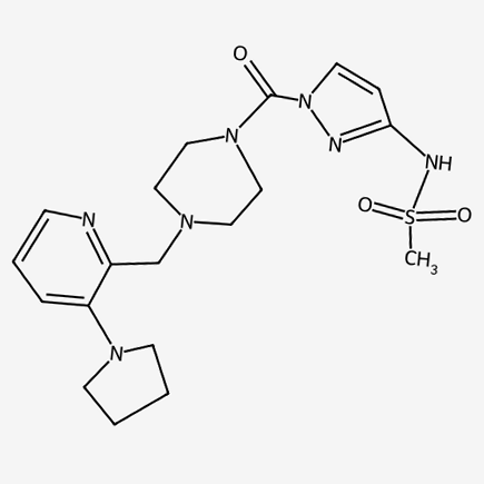 CS(=O)(=O)Nc1ccn(C(=O)N2CCN(Cc3ncccc3N3CCCC3)CC2)n1